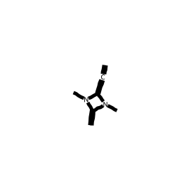 C=C=c1n(C)c(=C)n1C